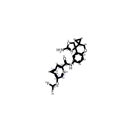 NC1=NC2(CO1)c1cc(NC(=O)C3=C/C=C/C=C(OC(F)F)/C=N\3)ccc1OCC21CC1